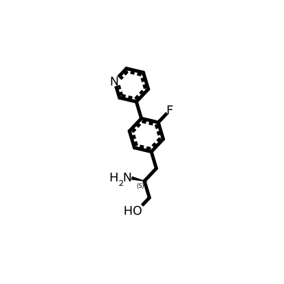 N[C@H](CO)Cc1ccc(-c2cccnc2)c(F)c1